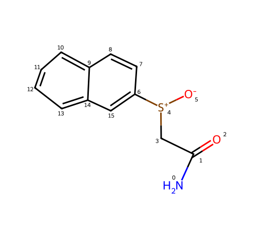 NC(=O)C[S+]([O-])c1ccc2ccccc2c1